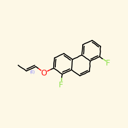 C/C=C/Oc1ccc2c(ccc3c(F)cccc32)c1F